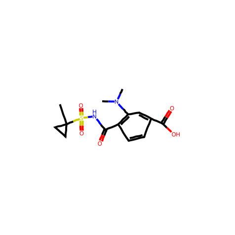 CN(C)c1cc(C(=O)O)ccc1C(=O)NS(=O)(=O)C1(C)CC1